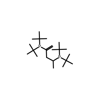 C=C(CC(C)P(C(C)(C)C)C(C)(C)C)P(C(C)(C)C)C(C)(C)C